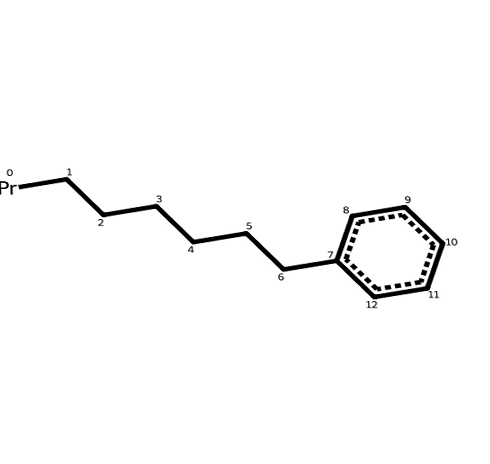 CC(C)CCCCCCc1cc[c]cc1